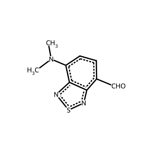 CN(C)c1ccc(C=O)c2nsnc12